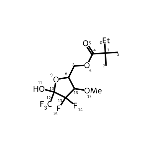 CCC(C)(C)C(=O)OCC1OC(O)(C(F)(F)F)C(F)(F)C1OC